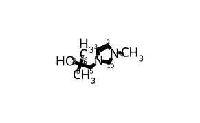 CN1C=CN(CC(C)(C)O)C1